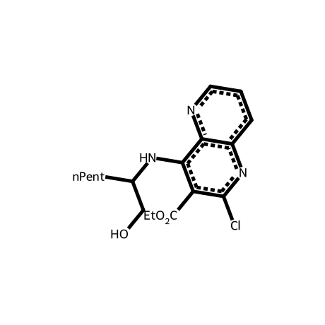 CCCCCC(CO)Nc1c(C(=O)OCC)c(Cl)nc2cccnc12